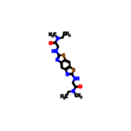 CCN(C)C(=O)CNc1nc2cc3nc(NCC(=O)N(C)CC)sc3cc2s1